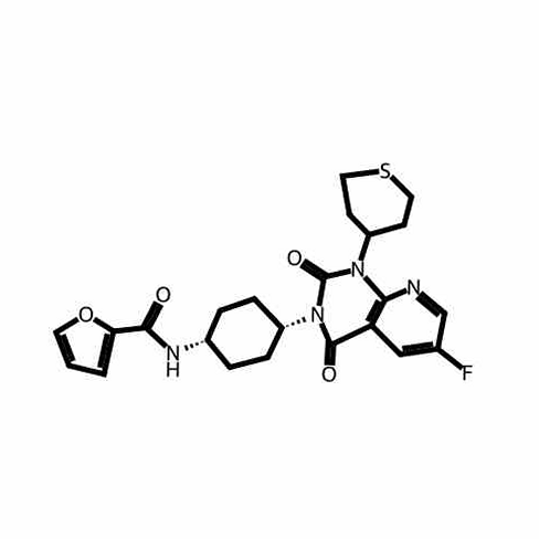 O=C(N[C@H]1CC[C@@H](n2c(=O)c3cc(F)cnc3n(C3CCSCC3)c2=O)CC1)c1ccco1